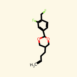 C=CCCC1COC(c2ccc(CF)c(F)c2)OC1